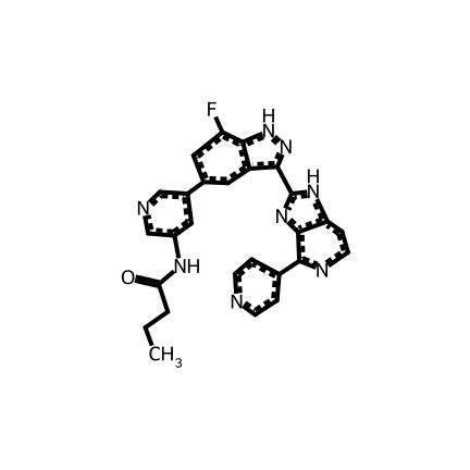 CCCC(=O)Nc1cncc(-c2cc(F)c3[nH]nc(-c4nc5c(-c6ccncc6)nccc5[nH]4)c3c2)c1